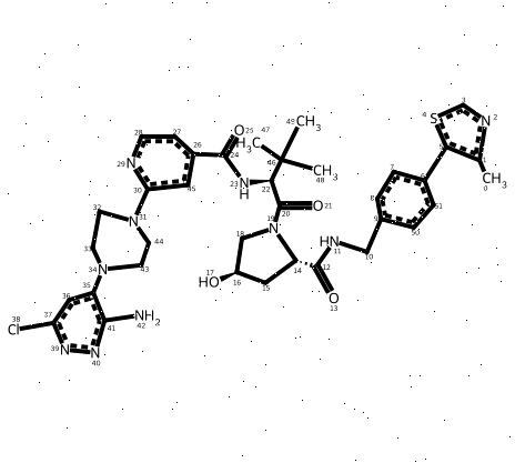 Cc1ncsc1-c1ccc(CNC(=O)[C@@H]2C[C@@H](O)CN2C(=O)[C@@H](NC(=O)c2ccnc(N3CCN(c4cc(Cl)nnc4N)CC3)c2)C(C)(C)C)cc1